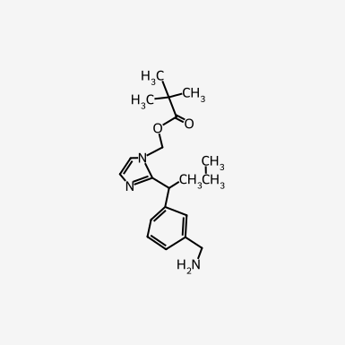 CC.CC(c1cccc(CN)c1)c1nccn1COC(=O)C(C)(C)C